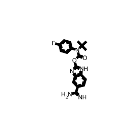 CC(C)(C)N(C(=O)Oc1nc2cc(C(=N)N)ccc2[nH]1)c1ccc(F)cc1